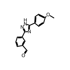 COc1ccc(-c2nc(-c3cccc(C=O)c3)n[nH]2)cc1